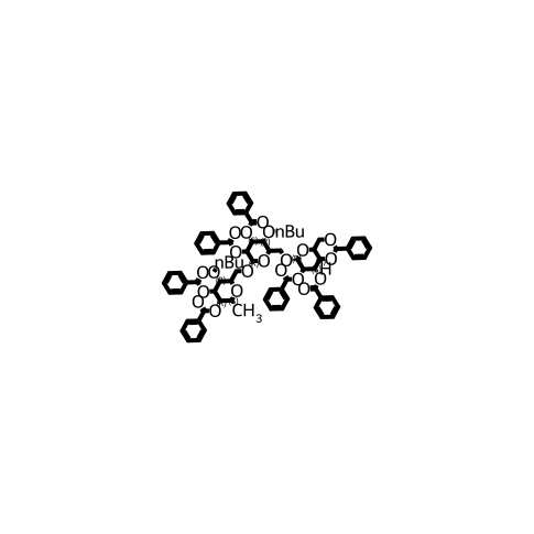 CCCCO[C@@H]1C(CO[C@@H]2OC(CO[C@@H]3OC4COC(c5ccccc5)O[C@H]4[C@H](OC(=O)c4ccccc4)C3OC(=O)c3ccccc3)[C@@H](OCCCC)[C@H](OC(=O)c3ccccc3)C2OC(=O)c2ccccc2)O[C@@H](C)[C@@H](OC(=O)c2ccccc2)C1OC(=O)c1ccccc1